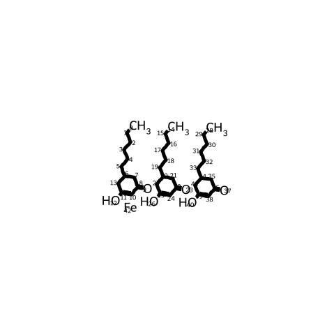 CCCCCCC1CC(=O)C=C(O)C1.CCCCCCC1CC(=O)C=C(O)C1.CCCCCCC1CC(=O)C=C(O)C1.[Fe]